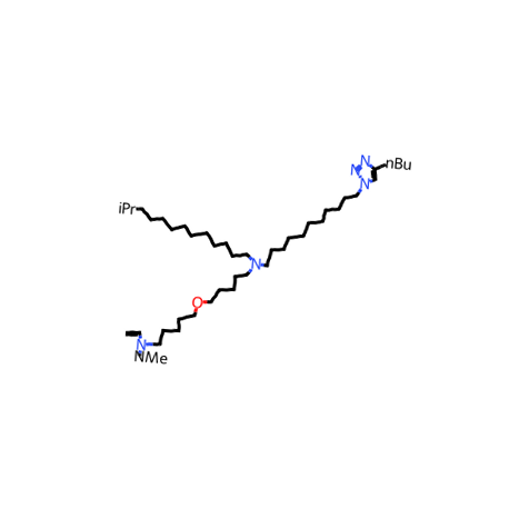 C=CN(CCCCCOCCCCCN(CCCCCCCCCCCC(C)C)CCCCCCCCCCCn1cc(CCCC)nn1)NC